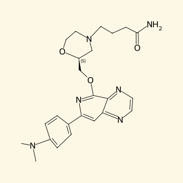 CN(C)c1ccc(-c2cc3nccnc3c(OC[C@@H]3CN(CCCC(N)=O)CCO3)n2)cc1